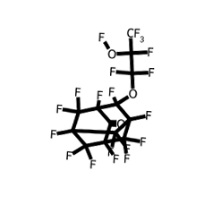 O=C1C2(F)C(F)(F)C3(F)C(F)(F)C1(F)C(F)(OC(F)(F)C(F)(OF)C(F)(F)F)C(F)(C2(F)F)C3(F)F